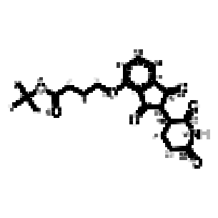 CC(C)(C)OC(=O)CCCOc1cccc2c1C(=O)C(C1CCC(=O)NC1=O)C2=O